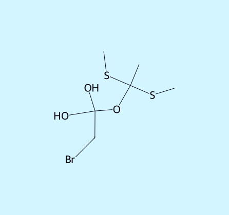 CSC(C)(OC(O)(O)CBr)SC